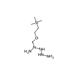 C[Si](C)(C)CCOCN(N)NNN